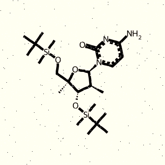 C[C@@H]1[C@H](n2ccc(N)nc2=O)O[C@](C)(CO[Si](C)(C)C(C)(C)C)[C@H]1O[Si](C)(C)C(C)(C)C